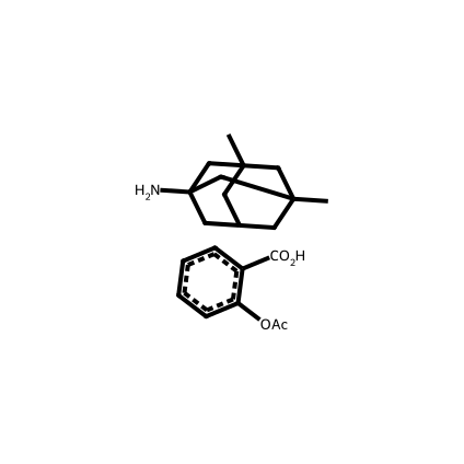 CC(=O)Oc1ccccc1C(=O)O.CC12CC3CC(C)(C1)CC(N)(C3)C2